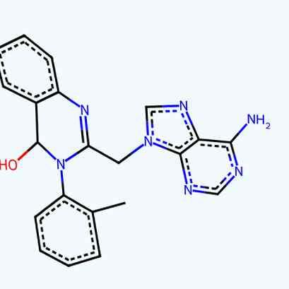 Cc1ccccc1N1C(Cn2cnc3c(N)ncnc32)=Nc2ccccc2C1O